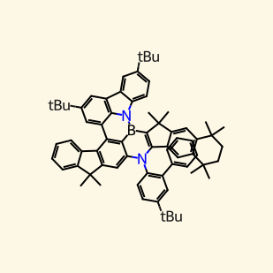 CC(C)(C)c1ccc(N2C3=C(B4c5c2cc2c(c5-c5cc(C(C)(C)C)cc6c7cc(C(C)(C)C)ccc7n4c56)-c4ccccc4C2(C)C)C(C)(C)c2cc4c(cc23)C(C)(C)CCC4(C)C)c(-c2ccccc2)c1